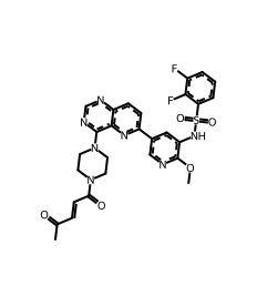 COc1ncc(-c2ccc3ncnc(N4CCN(C(=O)/C=C/C(C)=O)CC4)c3n2)cc1NS(=O)(=O)c1cccc(F)c1F